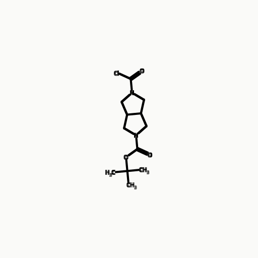 CC(C)(C)OC(=O)N1CC2CN(C(=O)Cl)CC2C1